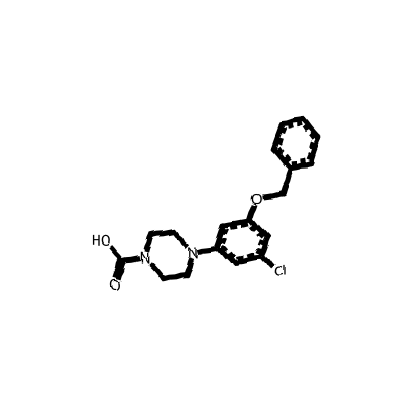 O=C(O)N1CCN(c2cc(Cl)cc(OCc3ccccc3)c2)CC1